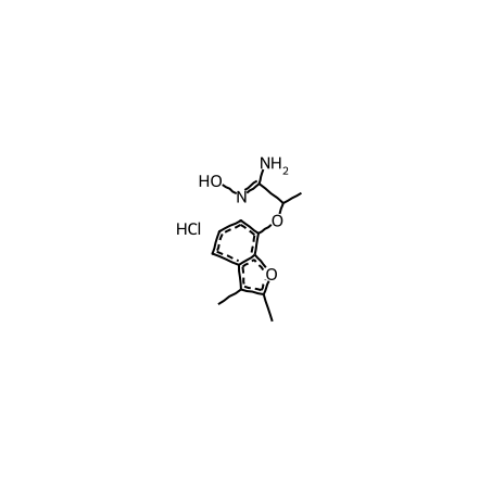 Cc1oc2c(OC(C)C(N)=NO)cccc2c1C.Cl